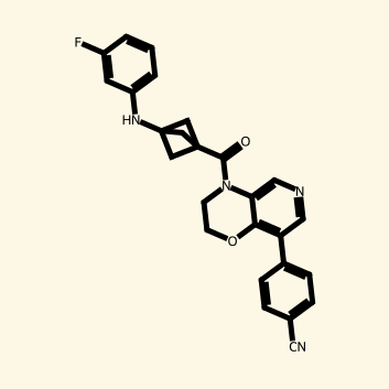 N#Cc1ccc(-c2cncc3c2OCCN3C(=O)C23CC(Nc4cccc(F)c4)(C2)C3)cc1